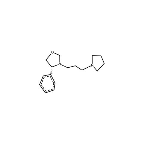 c1ccc([C@@H]2COCN2CCCN2CCCC2)cc1